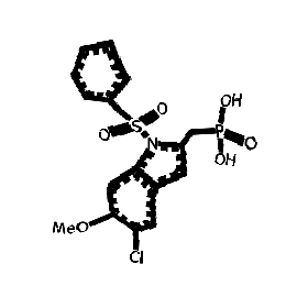 COc1cc2c(cc1Cl)cc(CP(=O)(O)O)n2S(=O)(=O)c1ccccc1